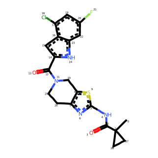 CC1(C(=O)Nc2nc3c(s2)CN(C(=O)c2cc4c(Cl)cc(F)cc4[nH]2)CC3)CC1